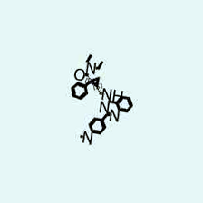 CCN(CC)C(=O)[C@]1(c2ccccc2)C[C@@H]1CNc1nc(-c2ccc(N(C)C)cc2)nc2ccccc12